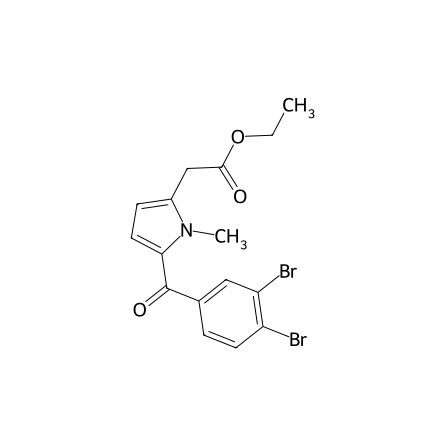 CCOC(=O)Cc1ccc(C(=O)c2ccc(Br)c(Br)c2)n1C